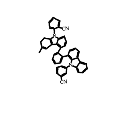 CC1=Cc2c(n(-c3ccccc3C#N)c3cccc(-c4ccccc4-c4cccc5c6ccccc6n(-c6cccc(C#N)c6)c45)c23)CC1